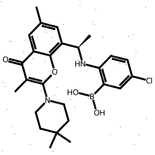 Cc1cc([C@@H](C)Nc2ccc(Cl)cc2B(O)O)c2oc(N3CCC(C)(C)CC3)c(C)c(=O)c2c1